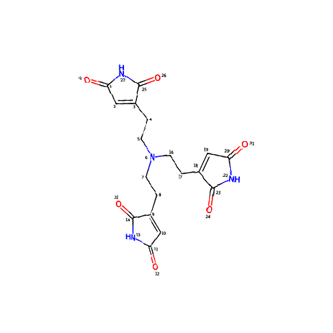 O=C1C=C(CCN(CCC2=CC(=O)NC2=O)CCC2=CC(=O)NC2=O)C(=O)N1